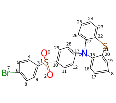 O=S(=O)(c1ccc(Br)cc1)c1ccc(N2c3ccccc3Sc3ccccc32)cc1